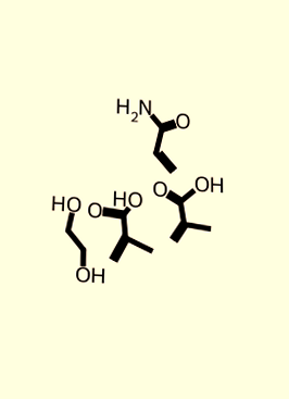 C=C(C)C(=O)O.C=C(C)C(=O)O.C=CC(N)=O.OCCO